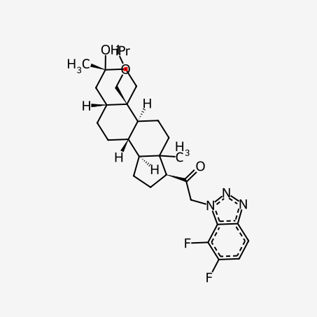 CC(C)OC[C@]12CC[C@@](C)(O)C[C@H]1CC[C@H]1[C@@H]3CC[C@H](C(=O)Cn4nnc5ccc(F)c(F)c54)C3(C)CC[C@@H]12